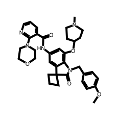 COc1ccc(CN2C(=O)C3(CCC3)c3cc(NC(=O)c4cccnc4N4CCOCC4)cc(OC4CCN(C)CC4)c32)cc1